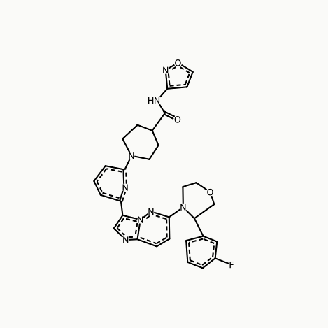 O=C(Nc1ccon1)C1CCN(c2cccc(-c3cnc4ccc(N5CCOCC5c5cccc(F)c5)nn34)n2)CC1